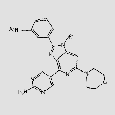 CC(=O)Nc1cccc(-c2nc3c(-c4cnc(N)nc4)nc(N4CCOCC4)nc3n2C(C)C)c1